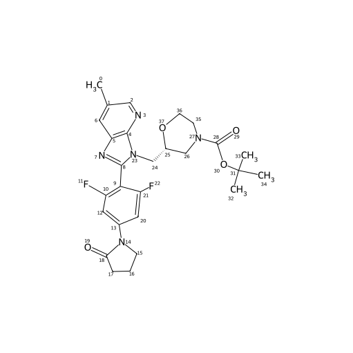 Cc1cnc2c(c1)nc(-c1c(F)cc(N3CCCC3=O)cc1F)n2C[C@H]1CN(C(=O)OC(C)(C)C)CCO1